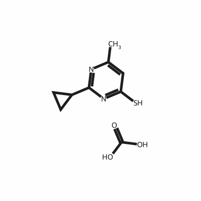 Cc1cc(S)nc(C2CC2)n1.O=C(O)O